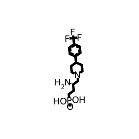 N[C@@H](CCP(=O)(O)O)CN1CCC(c2ccc(C(F)(F)F)cc2)CC1